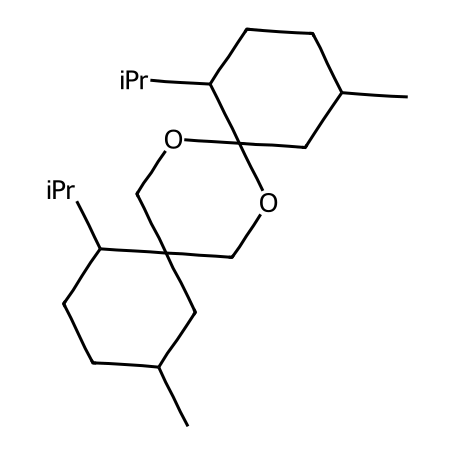 CC1CCC(C(C)C)C2(COC3(CC(C)CCC3C(C)C)OC2)C1